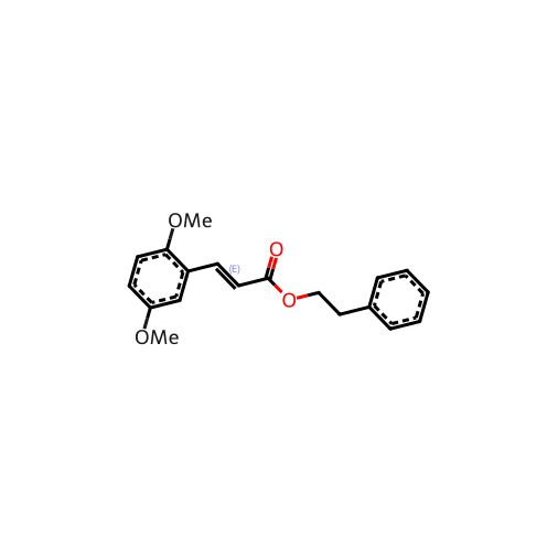 COc1ccc(OC)c(/C=C/C(=O)OCCc2ccccc2)c1